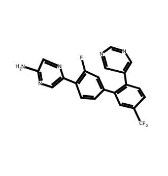 Nc1cnc(-c2ccc(-c3cc(C(F)(F)F)ccc3-c3cncnc3)cc2F)cn1